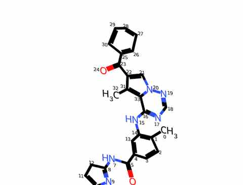 Cc1ccc(C(=O)NC2=NC=CC2)cc1Nc1ncnn2cc(C(=O)c3ccccc3)c(C)c12